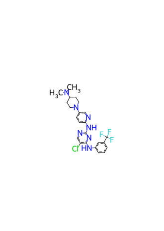 CN(C)C1CCN(c2ccc(Nc3ncc(Cl)c(Nc4cccc(C(F)(F)F)c4)n3)nc2)CC1